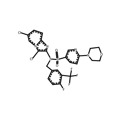 O=S(=O)(c1ccc(N2CCOCC2)nc1)N(Cc1ccc(F)c(C(F)(F)F)c1)c1nc2ccc(Cl)cn2c1Cl